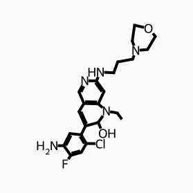 CCN1c2cc(NCCCN3CCOCC3)ncc2C=C(c2cc(N)c(F)cc2Cl)C1O